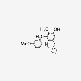 COc1ccc(N2CC3(CCC3)Cc3cc(O)c(C)c(C)c32)cc1